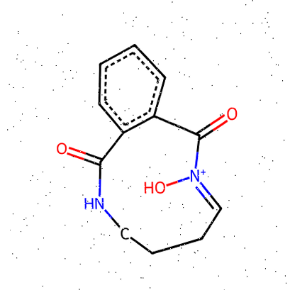 O=C1NCCC/C=[N+](\O)C(=O)c2ccccc21